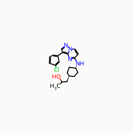 CC(O)C[C@H]1CC[C@H](Nc2ccn3ncc(-c4cccc(Cl)c4)c3n2)CC1